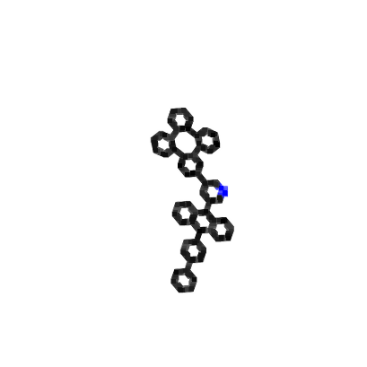 c1ccc(-c2ccc(-c3c4ccccc4c(-c4cncc(-c5ccc6c(c5)-c5ccccc5-c5ccccc5-c5ccccc5-6)c4)c4ccccc34)cc2)cc1